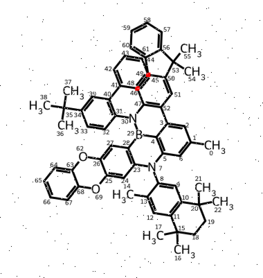 Cc1cc2c3c(c1)N(c1cc4c(cc1C)C(C)(C)CCC4(C)C)c1cc4c(cc1B3N(c1ccc(C(C)(C)C)cc1-c1ccccc1)c1cc3c(cc1-2)C(C)(C)c1ccccc1-3)Oc1ccccc1O4